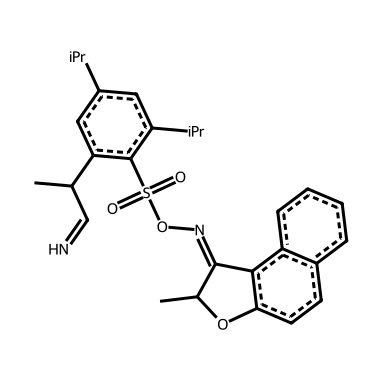 CC1Oc2ccc3ccccc3c2/C1=N/OS(=O)(=O)c1c(C(C)C)cc(C(C)C)cc1C(C)C=N